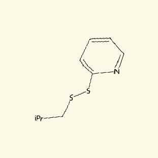 CC(C)CSSc1ccccn1